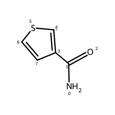 NC(=O)c1[c]scc1